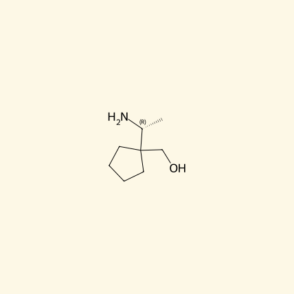 C[C@@H](N)C1(CO)CCCC1